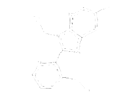 CCSc1cccnc1-c1nc2cc(C)cnc2n1CC(F)(F)F